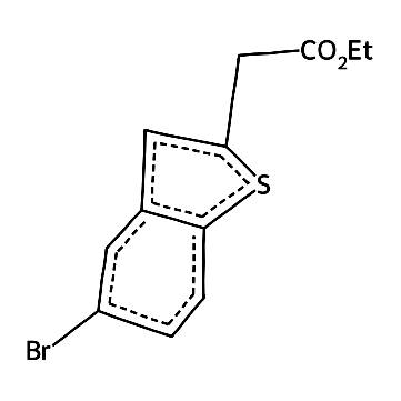 CCOC(=O)Cc1cc2cc(Br)ccc2s1